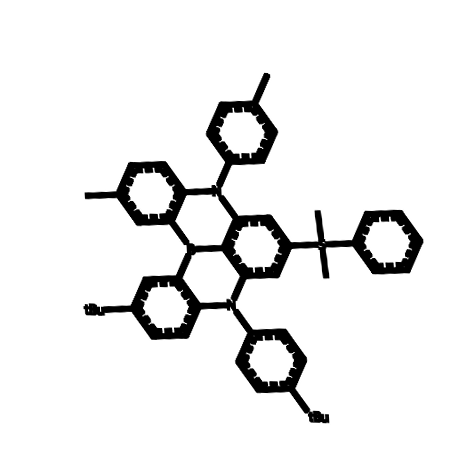 Cc1ccc(N2c3ccc(C)cc3B3c4cc(C(C)(C)C)ccc4N(c4ccc(C(C)(C)C)cc4)c4cc(S(C)(C)c5ccccc5)cc2c43)cc1